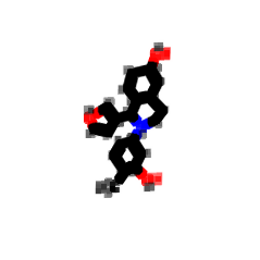 Cc1ccc(N2CCc3cc(O)ccc3C2c2ccoc2)cc1O